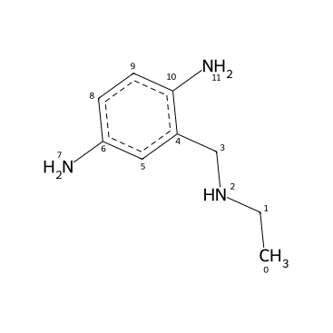 CCNCc1cc(N)ccc1N